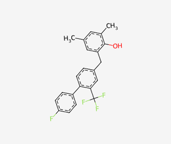 Cc1cc(C)c(O)c(Cc2ccc(-c3ccc(F)cc3)c(C(F)(F)F)c2)c1